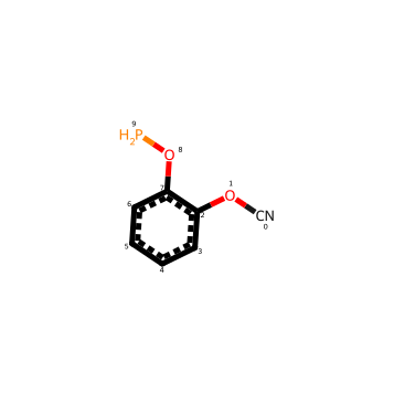 N#COc1ccccc1OP